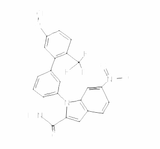 COc1ccc(C(F)(F)F)c(-c2cccc(-n3c(C(N)=O)cc4ccc([N+](=O)[O-])cc43)c2)c1